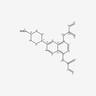 C=CC(=O)Oc1ccc(OC(=O)C=C)c2cc(C3CCC(CCCCCC)CC3)ccc12